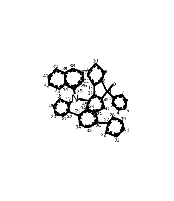 CC1(c2ccccc2)c2ccccc2-c2c(N(c3ccccc3-c3ccc(-c4ccccc4)cc3)c3cccc4ccccc34)cccc21